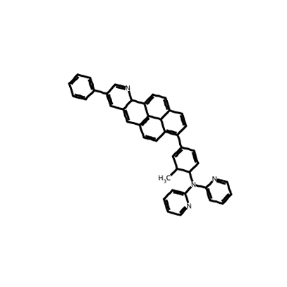 CC1C=C(C2=C3C=CC4=C5C(=CC=C(C=C2)C35)C2N=CC(c3ccccc3)=CC2=C4)C=CC1N(c1ccccn1)c1ccccn1